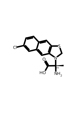 C[C@@](N)(C(=O)O)N1CSc2cc3ccc(Cl)cc3cc21